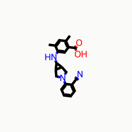 Cc1cc(C)c(C(=O)O)cc1NC1C2CN(c3ccccc3C#N)CC21